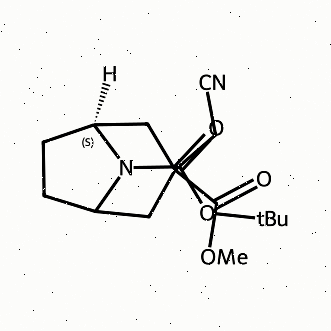 COC(=O)C1(CC#N)CC2CC[C@@H](C1)N2C(=O)OC(C)(C)C